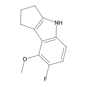 COc1c(F)ccc2[nH]c3c(c12)CCC3